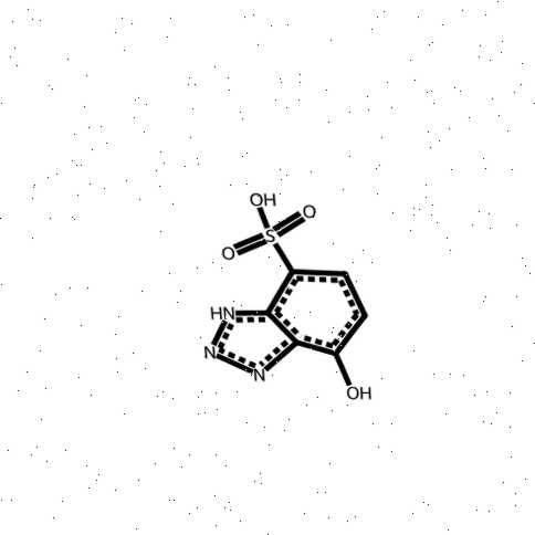 O=S(=O)(O)c1ccc(O)c2nn[nH]c12